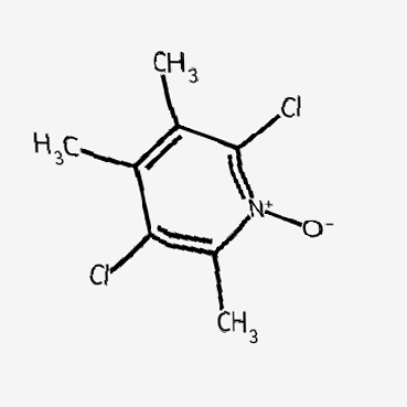 Cc1c(C)c(Cl)[n+]([O-])c(C)c1Cl